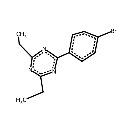 CCc1nc(CC)nc(-c2ccc(Br)cc2)n1